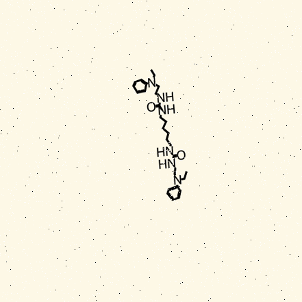 CCN(CCNC(=O)NCCCCCCNC(=O)NCCN(CC)c1ccccc1)c1ccccc1